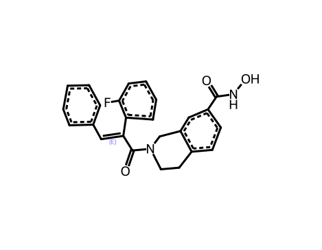 O=C(NO)c1ccc2c(c1)CN(C(=O)/C(=C/c1ccccc1)c1ccccc1F)CC2